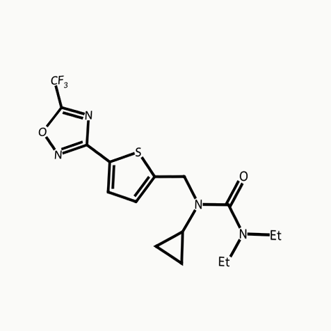 CCN(CC)C(=O)N(Cc1ccc(-c2noc(C(F)(F)F)n2)s1)C1CC1